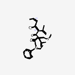 C=C(C)/C(C(=O)C(CSC)(C(=C)C)C(=O)N(CC)c1ccccc1)=C(Cl)\C=C/C